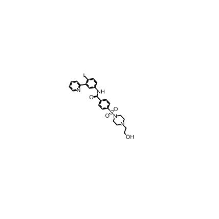 O=C(Nc1ccc(I)c(-c2ccccn2)c1)c1ccc(S(=O)(=O)N2CCN(CCO)CC2)cc1